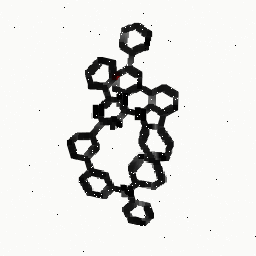 c1ccc(-c2cccc(-c3cccc4c5ccccc5n(-c5nc(-c6ccccc6)nc(-c6cccc(-c7cccc(N(c8ccccc8)c8ccccc8)c7)c6)n5)c34)c2)cc1